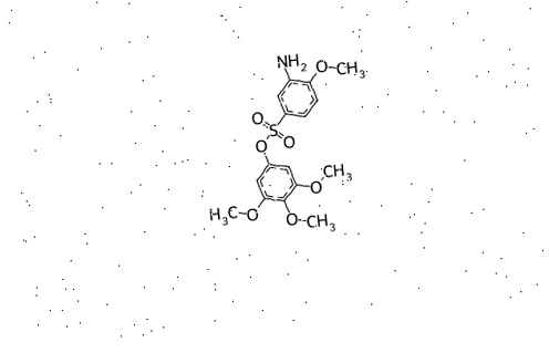 COc1ccc(S(=O)(=O)Oc2cc(OC)c(OC)c(OC)c2)cc1N